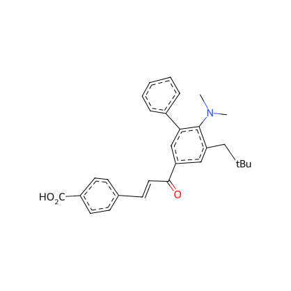 CN(C)c1c(CC(C)(C)C)cc(C(=O)C=Cc2ccc(C(=O)O)cc2)cc1-c1ccccc1